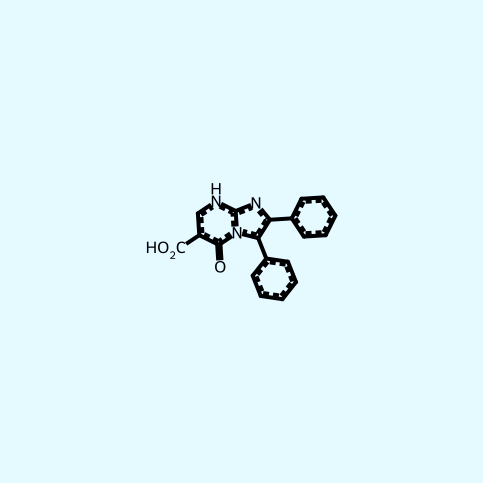 O=C(O)c1c[nH]c2nc(-c3ccccc3)c(-c3ccccc3)n2c1=O